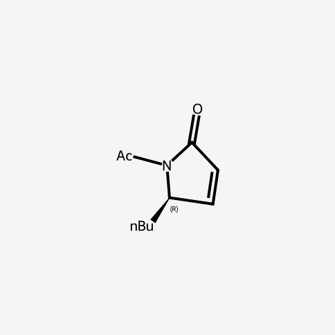 CCCC[C@@H]1C=CC(=O)N1C(C)=O